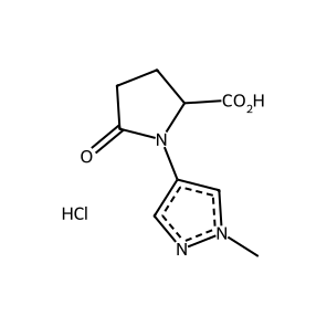 Cl.Cn1cc(N2C(=O)CCC2C(=O)O)cn1